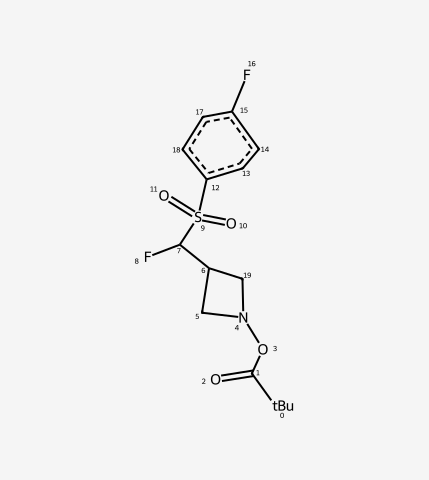 CC(C)(C)C(=O)ON1CC(C(F)S(=O)(=O)c2ccc(F)cc2)C1